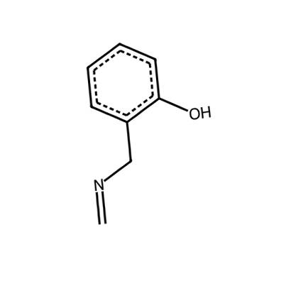 C=NCc1ccccc1O